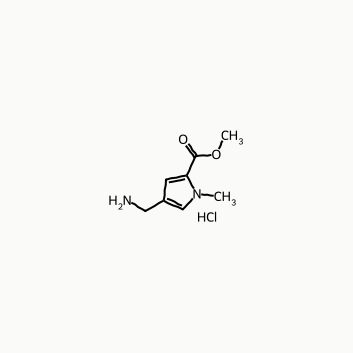 COC(=O)c1cc(CN)cn1C.Cl